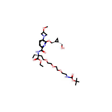 CCOC(=O)[C@@](CC)(CCOCCOCCOCCNC(=O)OC(C)(C)C)NC(=O)c1ccc(N2CC(OC)C2)c(OC[C@H]2C[C@@H]2CO)n1